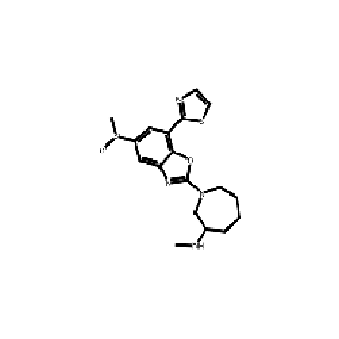 CNC1CCCCN(c2nc3cc([S+](C)[O-])cc(-c4nccs4)c3o2)C1